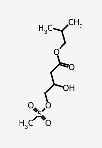 CC(C)COC(=O)CC(O)COS(C)(=O)=O